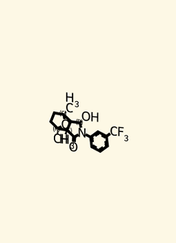 C[C@]12CC[C@](C)(O1)C1[C@@H](O)N(c3cccc(C(F)(F)F)c3)C(=O)[C@@H]12